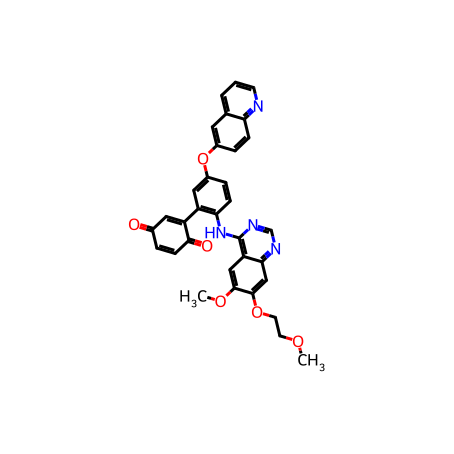 COCCOc1cc2ncnc(Nc3ccc(Oc4ccc5ncccc5c4)cc3C3=CC(=O)C=CC3=O)c2cc1OC